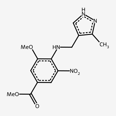 COC(=O)c1cc(OC)c(NCc2c[nH]nc2C)c([N+](=O)[O-])c1